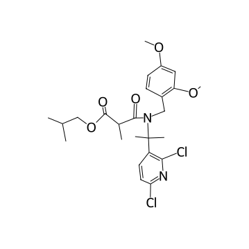 COc1ccc(CN(C(=O)C(C)C(=O)OCC(C)C)C(C)(C)c2ccc(Cl)nc2Cl)c(OC)c1